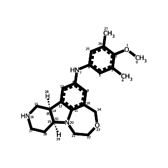 COc1c(C)cc(Nc2cc3c4c(c2)[C@@H]2CNCC[C@@H]2N4CCOC3)cc1C